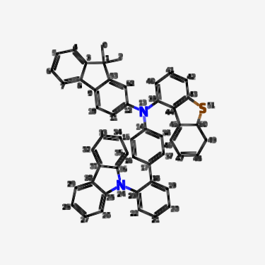 CC1(C)c2ccccc2-c2ccc(N(c3ccc(-c4ccccc4-n4c5ccccc5c5ccccc54)cc3)c3cccc4c3C3=CC=CCC3S4)cc21